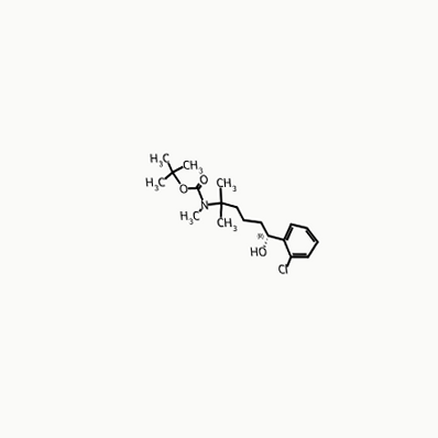 CN(C(=O)OC(C)(C)C)C(C)(C)CCC[C@@H](O)c1ccccc1Cl